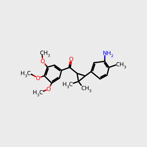 COc1cc(C(=O)C2C(c3ccc(C)c(N)c3)C2(C)C)cc(OC)c1OC